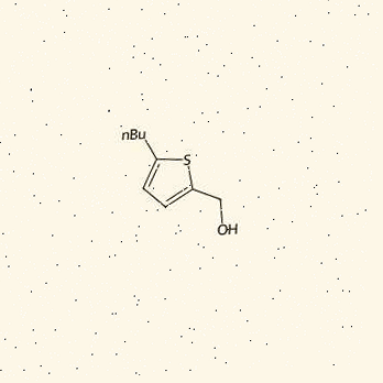 CCCCc1ccc(CO)s1